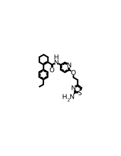 CCc1ccc(C2=C(C(=O)Nc3ccc(OCCc4csc(N)n4)nc3)CCCC2)cc1